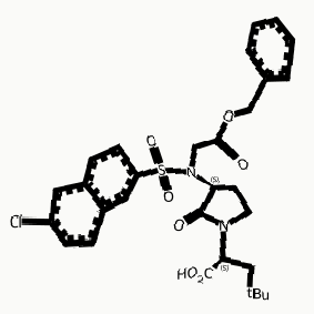 CC(C)(C)C[C@@H](C(=O)O)N1CC[C@H](N(CC(=O)OCc2ccccc2)S(=O)(=O)c2ccc3cc(Cl)ccc3c2)C1=O